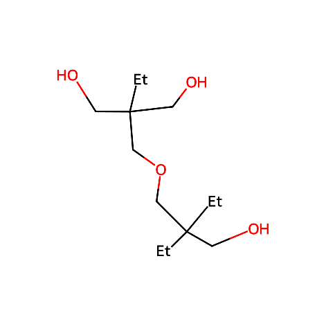 CCC(CC)(CO)COCC(CC)(CO)CO